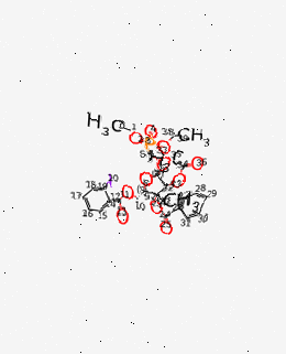 CCOP(=O)(CO[C@H]1O[C@@H](COC(=O)c2ccccc2I)C(C)(OC(=O)c2ccccc2)C1OC(C)=O)OCC